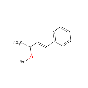 CCC(C)OC(C=Cc1ccccc1)C(=O)O